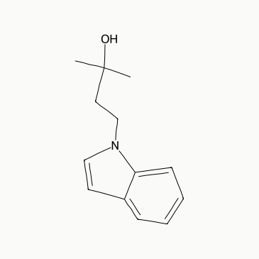 CC(C)(O)CCn1ccc2ccccc21